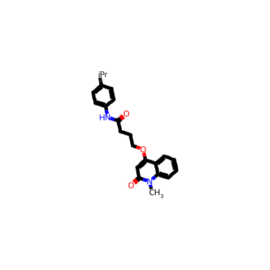 CC(C)c1ccc(NC(=O)CCCOc2cc(=O)n(C)c3ccccc23)cc1